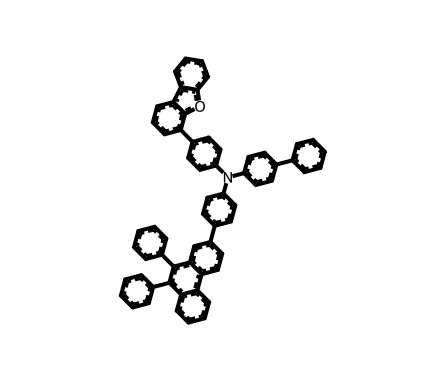 c1ccc(-c2ccc(N(c3ccc(-c4ccc5c(c4)c(-c4ccccc4)c(-c4ccccc4)c4ccccc45)cc3)c3ccc(-c4cccc5c4oc4ccccc45)cc3)cc2)cc1